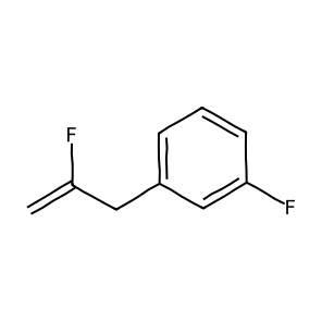 C=C(F)Cc1cccc(F)c1